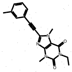 CCn1c(=O)c2c(nc(C#Cc3cccc(C)c3)n2C)n(C)c1=O